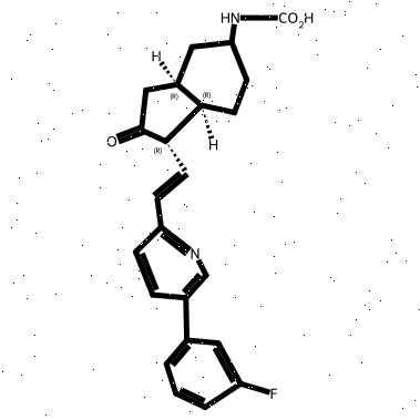 O=C(O)NC1CC[C@@H]2[C@@H](CC(=O)[C@H]2C=Cc2ccc(-c3cccc(F)c3)cn2)C1